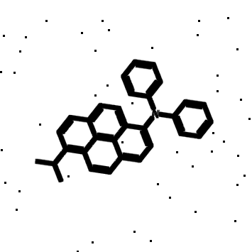 CC(C)c1ccc2ccc3c(N(c4ccccc4)c4ccccc4)ccc4ccc1c2c43